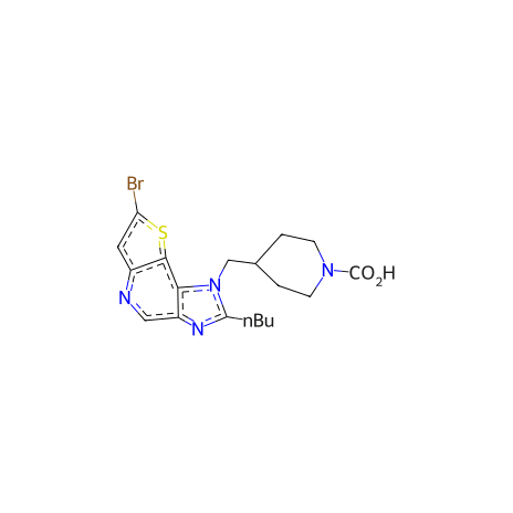 CCCCc1nc2cnc3cc(Br)sc3c2n1CC1CCN(C(=O)O)CC1